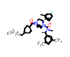 CCOC(=O)CC1CCC(C(=O)N2CCN(C(=O)N(C)[C@H](C)c3cc(C(F)(F)F)cc(C(F)(F)F)c3)[C@@H](c3ccc(F)cc3C)C2)CC1